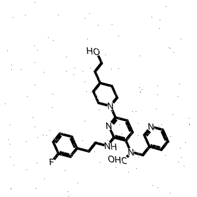 O=CN(Cc1cccnc1)c1ccc(N2CCC(CCO)CC2)nc1NCCc1cccc(F)c1